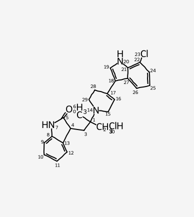 CC(C)(CC1C(=O)Nc2ccccc21)N1CC=C(c2c[nH]c3c(Cl)cccc23)CC1.Cl